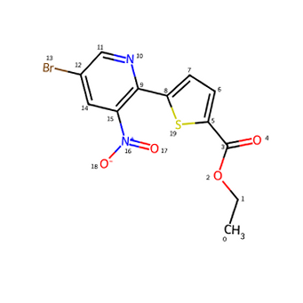 CCOC(=O)c1ccc(-c2ncc(Br)cc2[N+](=O)[O-])s1